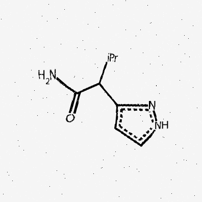 CC(C)C(C(N)=O)c1cc[nH]n1